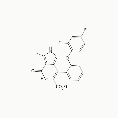 CCOC(=O)c1[nH]c(=O)c2c(C)[nH]cc2c1-c1ccccc1Oc1ccc(F)cc1F